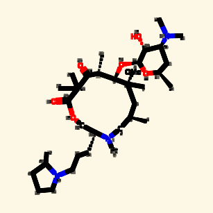 CCN1C[C@H](C)C[C@@](C)(OC)[C@H](O[C@@H]2O[C@H](C)C[C@H](N(C)C)[C@H]2O)[C@@H](C)C(=O)C(C)(C)C(=O)OC[C@H]1CCCN1CCCC1C